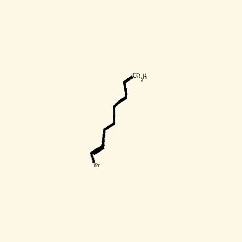 CC(C)C=CCCCCCC(=O)O